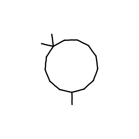 CC1CCCCCCCC(C)(C)CCCC1